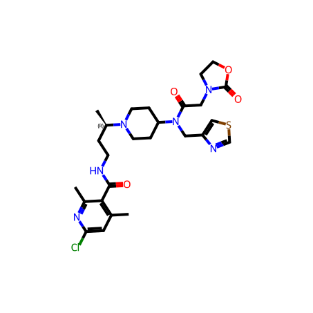 Cc1cc(Cl)nc(C)c1C(=O)NCC[C@@H](C)N1CCC(N(Cc2cscn2)C(=O)CN2CCOC2=O)CC1